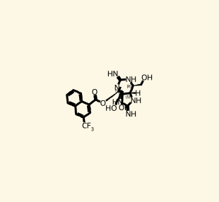 N=C1N[C@H]2[C@H](CO)NC(=N)N3C[C@H](OC(=O)c4cc(C(F)(F)F)cc5ccccc45)C(O)(O)[C@]23N1